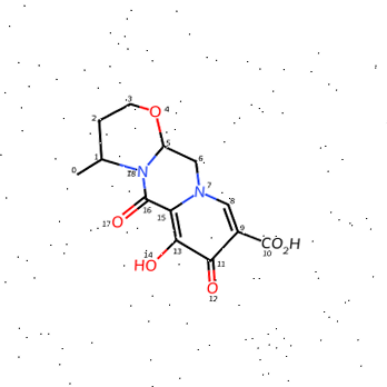 CC1CCOC2Cn3cc(C(=O)O)c(=O)c(O)c3C(=O)N12